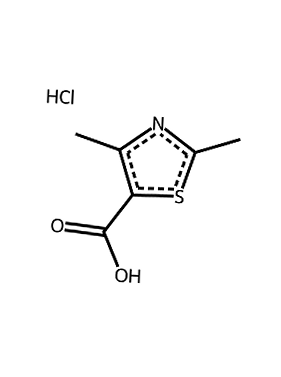 Cc1nc(C)c(C(=O)O)s1.Cl